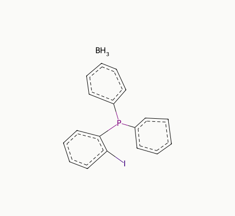 B.Ic1ccccc1P(c1ccccc1)c1ccccc1